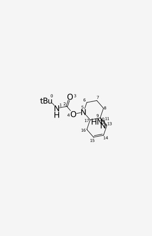 CC(C)(C)NC(=O)ON1CCCC23NCN=C2C=CCC13